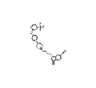 N#Cc1ccc2[nH]cc(CCCCN3CCN(c4ccc(Oc5cc(C(F)(F)F)ccn5)cc4)CC3)c2c1